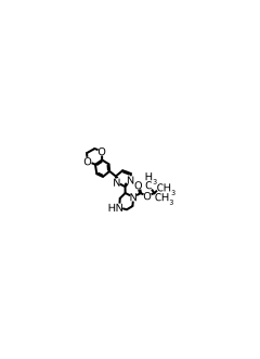 CC(C)(C)OC(=O)N1CCNCC1c1nccc(-c2ccc3c(c2)OCCO3)n1